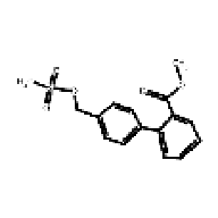 COC(=O)c1ccccc1-c1ccc(COS(C)(=O)=O)cc1